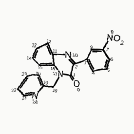 O=c1c(-c2cccc([N+](=O)[O-])c2)nc2ccccc2n1Cc1ccccn1